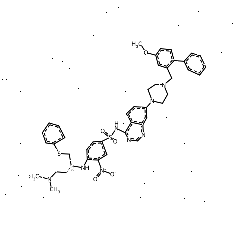 COc1ccc(-c2ccccc2)c(CN2CCN(c3ccc4c(NS(=O)(=O)c5ccc(N[C@H](CCN(C)C)CSc6ccccc6)c([N+](=O)[O-])c5)ncnc4c3)CC2)c1